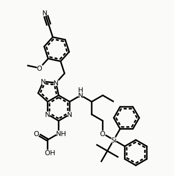 CCC(CCO[Si](c1ccccc1)(c1ccccc1)C(C)(C)C)Nc1nc(NC(=O)O)nc2cnn(Cc3ccc(C#N)cc3OC)c12